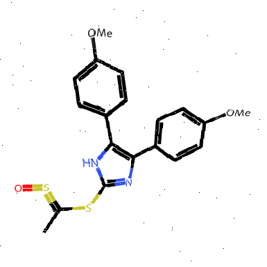 COc1ccc(-c2nc(SC(C)=S=O)[nH]c2-c2ccc(OC)cc2)cc1